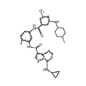 Cc1ccc(NC(=O)c2cc(NC3CCN(C)CC3)cc(C(F)(F)F)c2)cc1NC(=O)c1csc2c(NC3CC3)ncnc12